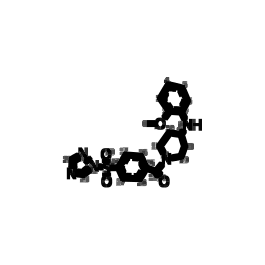 COc1ccccc1NC1CCN(C(=O)c2ccc(S(=O)(=O)n3cncn3)cc2)CC1